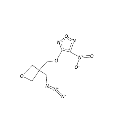 [N-]=[N+]=NCC1(COc2nonc2[N+](=O)[O-])COC1